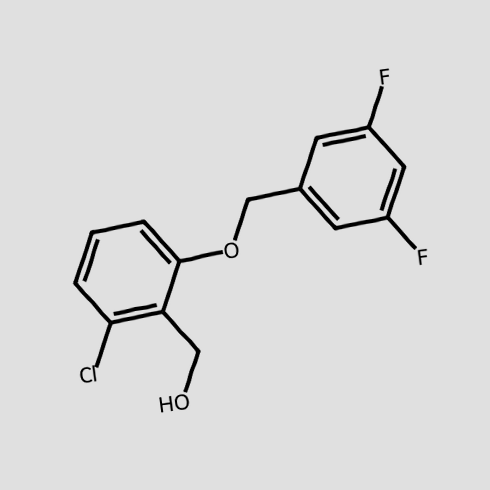 OCc1c(Cl)cccc1OCc1cc(F)cc(F)c1